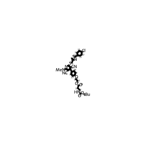 CNc1nc(SCc2csc(-c3ccc(Cl)cc3)n2)c(C#N)c(-c2ccc(OCCOC(=O)CCNC(=O)OC(C)(C)C)cc2)c1C#N